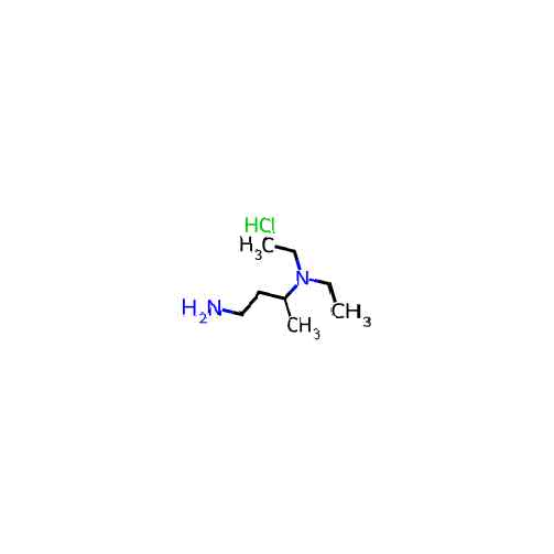 CCN(CC)C(C)CCN.Cl